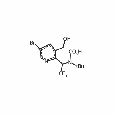 CC(C)(C)N(C(=O)O)C(c1ncc(Br)cc1CO)C(F)(F)F